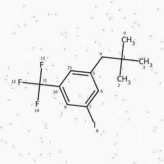 CC(C)(C)Cc1cc(I)cc(C(F)(F)F)c1